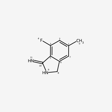 Cc1cc(F)c2c(c1)CNC2=N